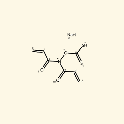 C=CC(=O)N(OC(=S)S)C(=O)C=C.[NaH]